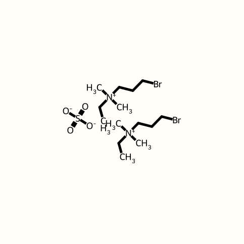 CC[N+](C)(C)CCCBr.CC[N+](C)(C)CCCBr.O=S(=O)([O-])[O-]